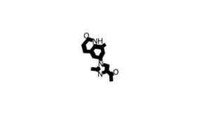 CC(=O)c1cn(-c2cc(C)c3[nH]c(=O)ccc3c2)c(C)n1